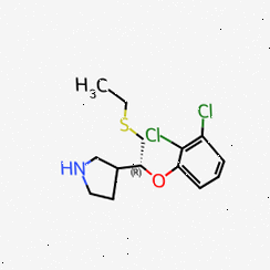 CCSC[C@H](Oc1cccc(Cl)c1Cl)C1CCNC1